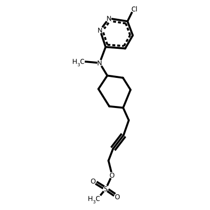 CN(c1ccc(Cl)nn1)C1CCC(CC#CCOS(C)(=O)=O)CC1